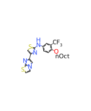 CCCCCCCCOc1ccc(Nc2nc(-c3cn4ccsc4n3)cs2)cc1C(F)(F)F